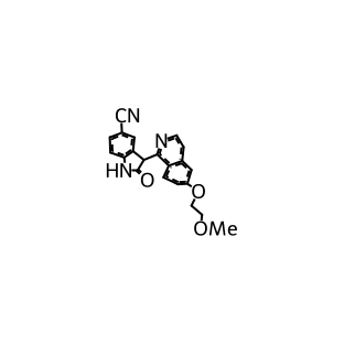 COCCOc1ccc2c(C3C(=O)Nc4ccc(C#N)cc43)nccc2c1